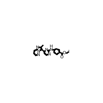 Cc1nc2cccnn2c1-c1ccnc(Nc2ccc(C(=O)OCI)cc2)n1